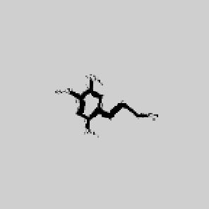 Bc1cc(OC)c(C)cc1/C=C/CO